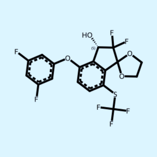 O[C@H]1c2c(Oc3cc(F)cc(F)c3)ccc(SC(F)(F)F)c2C2(OCCO2)C1(F)F